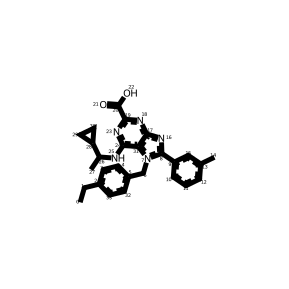 CCc1ccc(Cn2c(-c3cccc(C)c3)nc3nc(C(=O)O)nc(NC(C)C4CC4)c32)cc1